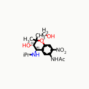 CC(=O)Nc1cc2c(cc1[N+](=O)[O-])OC(C)(C)[C@@H](O)[C@@H]2NC(C)C.CO